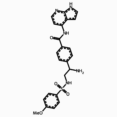 COc1ccc(S(=O)(=O)NCC(N)c2ccc(C(=O)Nc3ccnc4[nH]ccc34)cc2)cc1